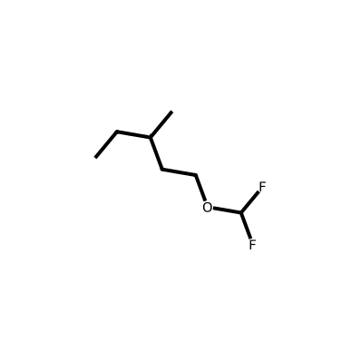 CC[C](C)CCOC(F)F